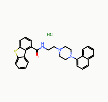 Cl.O=C(NCCN1CCN(c2cccc3ccccc23)CC1)c1cccc2sc3ccccc3c12